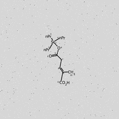 CCC[Si](CCC)(CCC)OC(=O)CC=C(C)C(=O)O